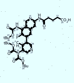 Cc1c(-c2cc3cc(NC(=O)CCCC(=O)O)ncc3c(NC(=O)OC(C)(C)C)c2F)cncc1N(C(=O)OC(C)(C)C)C(=O)OC(C)(C)C